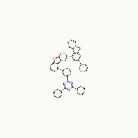 c1ccc(-c2cc(-c3ccc4oc5cccc(-c6cccc(-c7nc(-c8ccccc8)nc(-c8ccccc8)n7)c6)c5c4c3)c3c(c2)sc2ccccc23)cc1